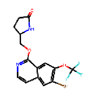 O=C1CCC(COc2nccc3cc(Br)c(OC(F)(F)F)cc23)N1